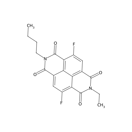 CCCCN1C(=O)c2cc(F)c3c4c(cc(F)c(c24)C1=O)C(=O)N(CC)C3=O